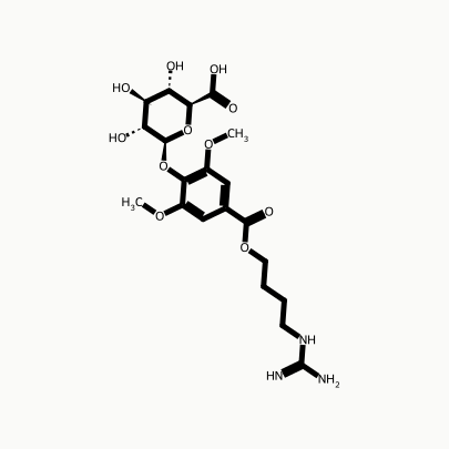 COc1cc(C(=O)OCCCCNC(=N)N)cc(OC)c1O[C@@H]1O[C@H](C(=O)O)[C@@H](O)[C@H](O)[C@H]1O